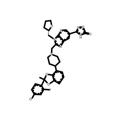 CC1(c2ccc(Cl)cc2F)Oc2cccc(C3CCN(Cc4nc5cc(-c6noc(=O)[nH]6)cnc5n4C[C@@H]4CCCO4)CC3)c2O1